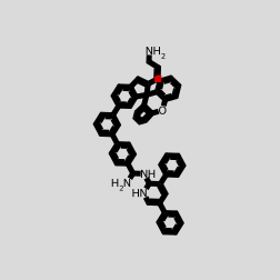 NC/C=C\C1=Cc2ccc(-c3cccc(-c4ccc(C(N)NC5NC=C(c6ccccc6)C=C5c5ccccc5)cc4)c3)cc2C12c1ccccc1Oc1ccccc12